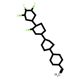 C=CC1CCC(C2CCC(C3CCC(C4CC(F)C(F)C(F)C4)C(F)C3)CC2)CC1